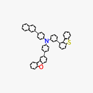 c1cc(-c2cccc3sc4ccccc4c23)cc(N(c2ccc(-c3ccc4ccccc4c3)cc2)c2ccc(-c3ccc4oc5ccccc5c4c3)cc2)c1